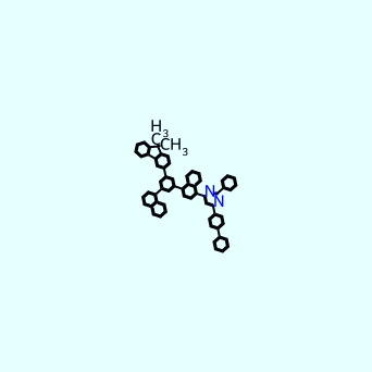 CC1(C)c2ccccc2-c2cc(-c3cc(-c4cccc5ccccc45)cc(-c4ccc(-c5cc(-c6ccc(-c7ccccc7)cc6)nc(-c6ccccc6)n5)c5ccccc45)c3)ccc21